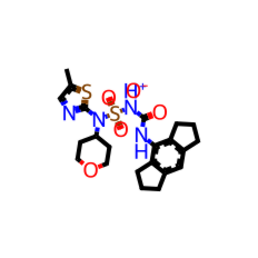 Cc1cnc(N(C2CCOCC2)S(=O)(=O)[NH+]([O-])C(=O)Nc2c3c(cc4c2CCC4)CCC3)s1